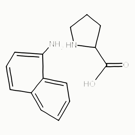 Nc1cccc2ccccc12.O=C(O)C1CCCN1